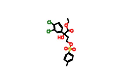 CCOC(=O)C(O)(CCOS(=O)(=O)c1ccc(C)cc1)c1ccc(Cl)c(Cl)c1